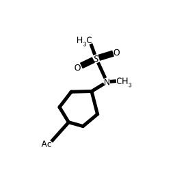 CC(=O)C1CCC(N(C)S(C)(=O)=O)CC1